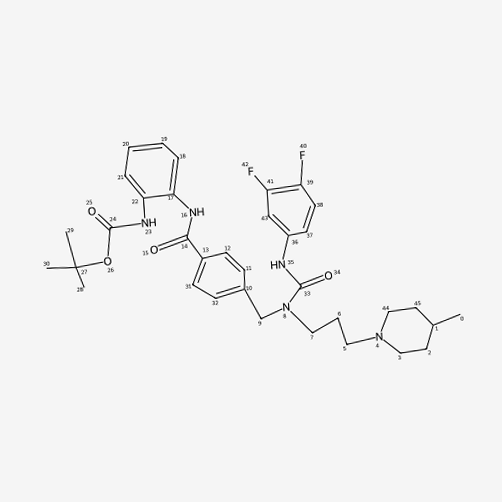 CC1CCN(CCCN(Cc2ccc(C(=O)Nc3ccccc3NC(=O)OC(C)(C)C)cc2)C(=O)Nc2ccc(F)c(F)c2)CC1